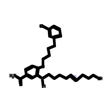 CCN(CCCC/C=C/CCCS)c1cc(C(N)=O)ccc1OCCCCc1cccc(Cl)c1